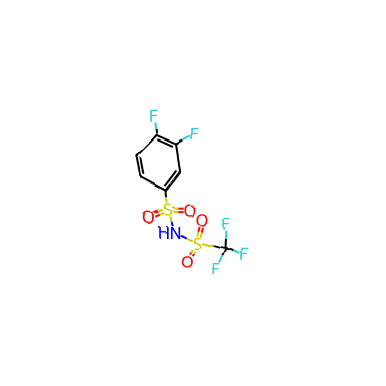 O=S(=O)(NS(=O)(=O)C(F)(F)F)c1ccc(F)c(F)c1